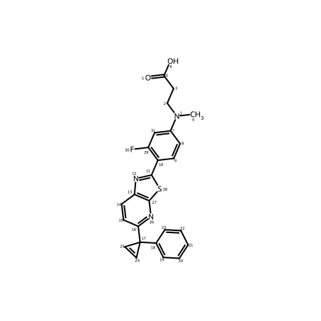 CN(CCC(=O)O)c1ccc(-c2nc3ccc(C4(c5ccccc5)C=C4)nc3s2)c(F)c1